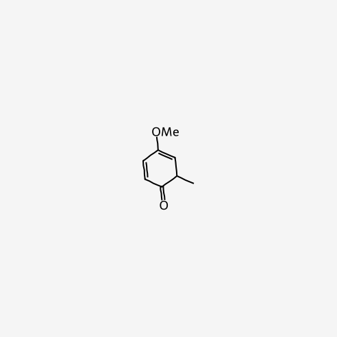 COC1=CC(C)C(=O)C=C1